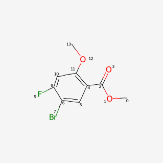 COC(=O)c1cc(Br)c(F)cc1OC